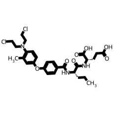 CCC[C@H](NC(=O)c1ccc(Oc2ccc(N(CCCl)CCCl)c(C)c2)cc1)C(=O)N[C@@H](CCC(=O)O)C(=O)O